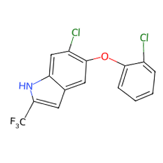 FC(F)(F)c1cc2cc(Oc3ccccc3Cl)c(Cl)cc2[nH]1